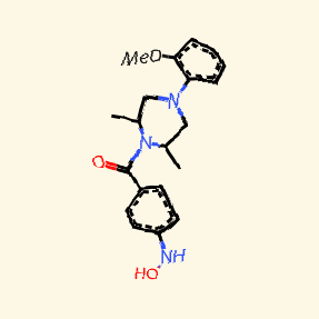 COc1ccccc1N1CC(C)N(C(=O)c2ccc(NO)cc2)C(C)C1